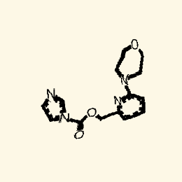 O=C(OCc1cccc(N2CCOCC2)n1)n1ccnc1